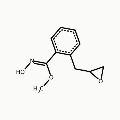 COC(=NO)c1ccccc1CC1CO1